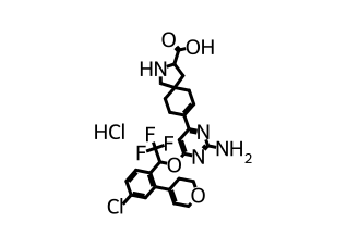 Cl.Nc1nc(OC(c2ccc(Cl)cc2C2=CCOCC2)C(F)(F)F)cc(C2=CCC3(CC2)CNC(C(=O)O)C3)n1